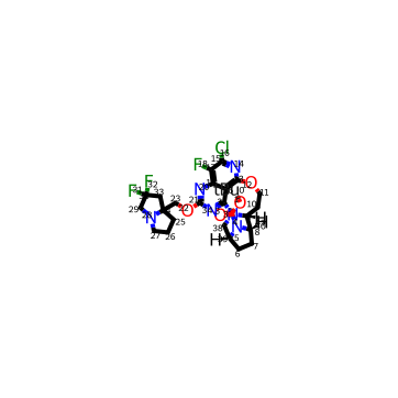 CC(C)(C)OC(=O)N1[C@@H]2CC[C@H]1[C@H]1CCOc3nc(Cl)c(F)c4nc(OCC56CCCN5CC(F)(F)C6)nc(c34)N1C2